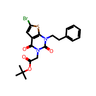 CC(C)(C)OC(=O)Cn1c(=O)c2cc(Br)sc2n(CCc2ccccc2)c1=O